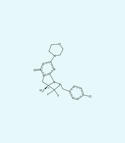 C[C@@]1(C(F)(F)F)Cn2c(nc(N3CCOCC3)cc2=O)N1CCc1ccc(Cl)cc1